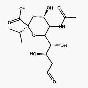 CC(=O)NC1C([C@H](O)[C@H](O)CC=O)O[C@](C(=O)O)(C(C)C)C[C@H]1O